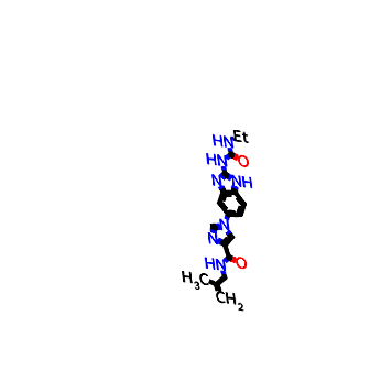 C=C(C)CNC(=O)c1cn(-c2ccc3[nH]c(NC(=O)NCC)nc3c2)cn1